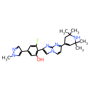 Cn1cc(-c2cc(O)c(-c3cn4ccc(C5=CC(C)(C)NC(C)(C)C5)nc4n3)c(F)c2)cn1